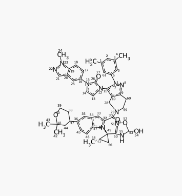 Cc1cc(C)cc(-n2nc3c(c2-n2ccn(-c4ccc5c(cnn5C)c4)c2=O)CN(C(=O)c2cc4cc(C5CCOC(C)(C)C5)ccc4n2[C@@]2(C4=NOC(O)N4)C[C@@H]2C)CC3)c1